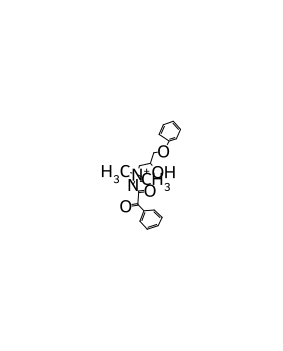 C[N+](C)(CC(O)COc1ccccc1)[N-]C(=O)C(=O)c1ccccc1